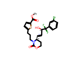 CC(C)OC(=O)c1ccc(CCCN2C(=O)OCC[C@@H]2/C=C/[C@@H](O)C(F)(F)c2cccc(Br)c2)s1